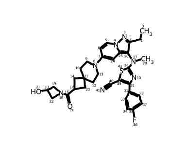 CCc1nn2ccc(N3CCC4(CC3)CC(C(=O)N3CC(O)C3)C4)cc2c1N(C)c1nc(-c2ccc(F)cc2)c(C#N)s1